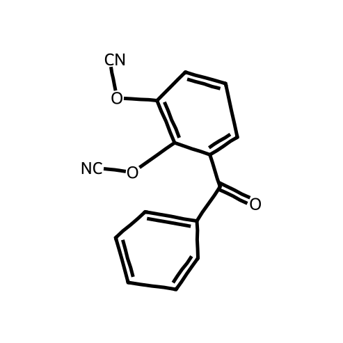 N#COc1cccc(C(=O)c2ccccc2)c1OC#N